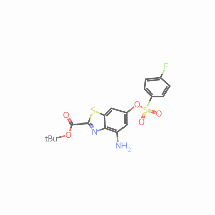 CC(C)(C)OC(=O)c1nc2c(N)cc(OS(=O)(=O)c3ccc(F)cc3)cc2s1